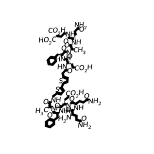 CC(NC(=O)[C@H](Cc1ccccc1)NC(=O)[C@H](CCC(=O)O)NC(=O)Cc1ccc(-c2ccc(CNC(=O)[C@H](C)NC(=O)C(Cc3ccccc3)NC(=O)[C@H](CCC(=O)O)NC(=O)C(CCC(N)=O)NC(=O)[C@@H](N)CCC(N)=O)s2)s1)C(=O)N[C@@H](CCC(N)=O)C(=O)NC(CCC(=O)O)C(=O)O